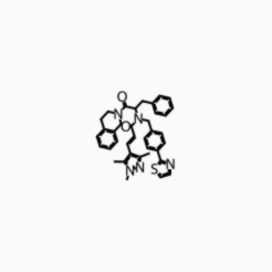 Cc1nn(C)c(C)c1C=CC(=O)N(Cc1ccc(-c2nccs2)cc1)C(Cc1ccccc1)C(=O)N1CCc2ccccc2C1